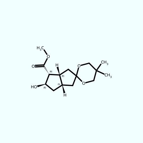 COC(=O)[C@@H]1[C@@H]2CC3(C[C@@H]2C[C@H]1O)OCC(C)(C)CO3